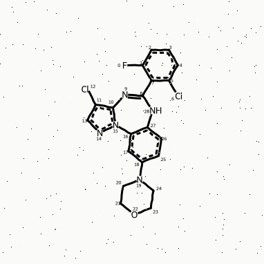 Fc1cccc(Cl)c1C1=Nc2c(Cl)cnn2-c2cc(N3CCOCC3)ccc2N1